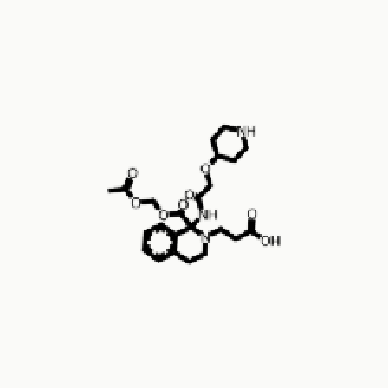 CC(=O)OCOC(=O)C1(NC(=O)COC2CCNCC2)c2ccccc2CCN1CCC(=O)O